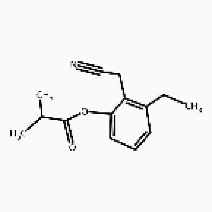 CCc1cccc(OC(=O)C(C)C)c1CC#N